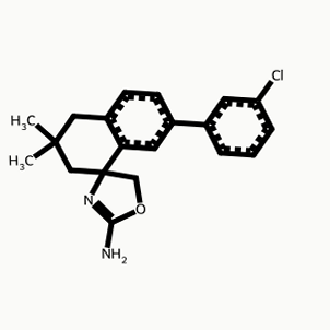 CC1(C)Cc2ccc(-c3cccc(Cl)c3)cc2C2(COC(N)=N2)C1